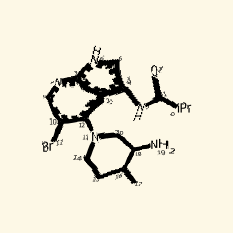 CC(C)C(=O)Nc1c[nH]c2ncc(Br)c(N3CCC(C)C(N)C3)c12